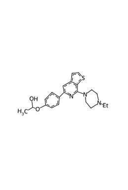 CCN1CCN(c2nc(-c3ccc(OC(C)O)cc3)cc3ccsc23)CC1